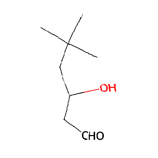 CC(C)(C)CC(O)CC=O